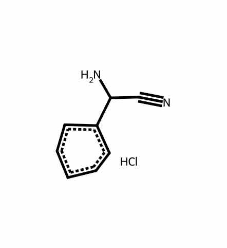 Cl.N#CC(N)c1ccccc1